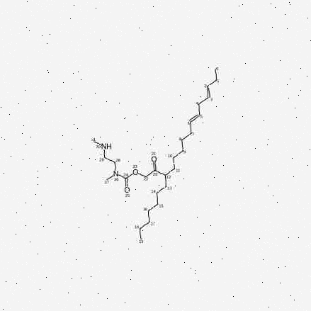 CCC=CCC=CCCCCCC(CCCCCCC)C(=O)COC(=O)N(C)CCNC